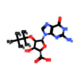 CC(C)(C)[Si](C)(C)O[C@@H]1[C@H](O)[C@@H](C(=O)O)O[C@H]1n1cnc2c(=O)[nH]c(N)nc21